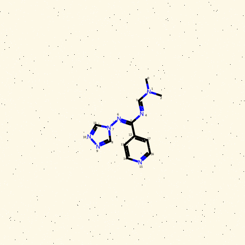 CN(C)/C=N/C(=N/n1cnnc1)c1ccncc1